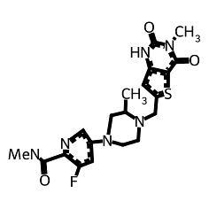 CNC(=O)c1ncc(N2CCN(Cc3cc4[nH]c(=O)n(C)c(=O)c4s3)C(C)C2)cc1F